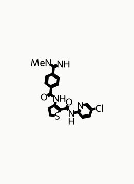 CNC(=N)c1ccc(C(=O)NC2=C(C(=O)Nc3ccc(Cl)cn3)SCC2)cc1